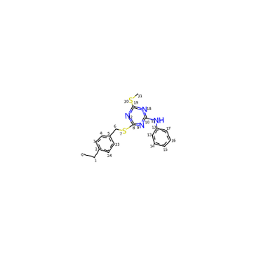 CCc1ccc(CSc2nc(Nc3ccccc3)nc(SC)n2)cc1